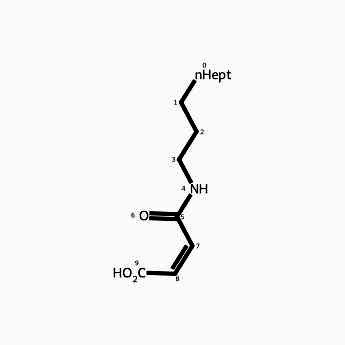 CCCCCCCCCCNC(=O)/C=C\C(=O)O